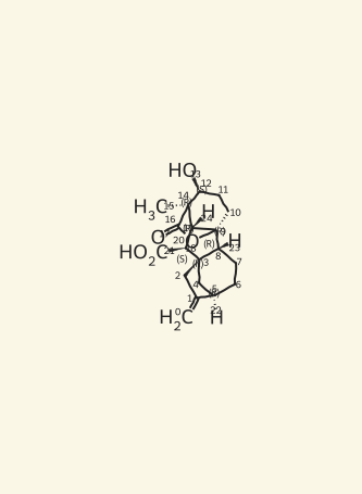 C=C1C[C@]23C[C@H]1CC[C@H]2[C@@]12CC[C@H](O)[C@](C)(C(=O)O1)[C@H]2[C@@H]3C(=O)O